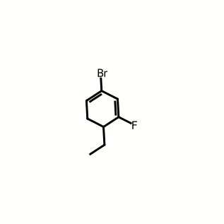 CCC1CC=C(Br)C=C1F